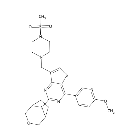 COc1ccc(-c2nc(N3C4CCC3COC4)nc3c(CN4CCN(S(C)(=O)=O)CC4)csc23)cn1